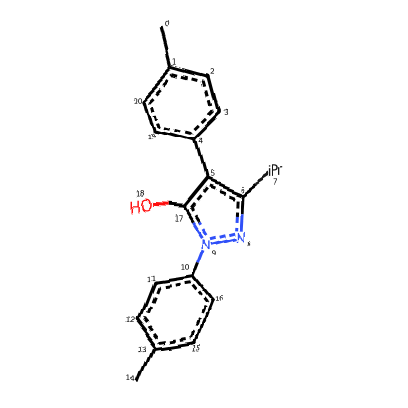 Cc1ccc(-c2c(C(C)C)nn(-c3ccc(C)cc3)c2O)cc1